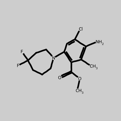 COC(=O)c1c(N2CCCC(F)(F)CC2)cc(Cl)c(N)c1C